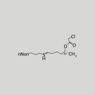 CCCCCCCCCCCC[SH]=CCCC[C@@H](C)OC(=O)CCl